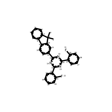 CC1(C)c2ccccc2-c2ccc(-c3nc(-c4ccccc4F)nc(-c4ccccc4F)n3)cc21